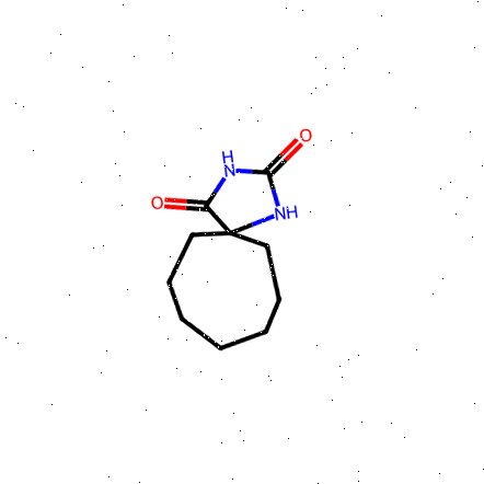 O=C1NC(=O)C2(CCCCCCC2)N1